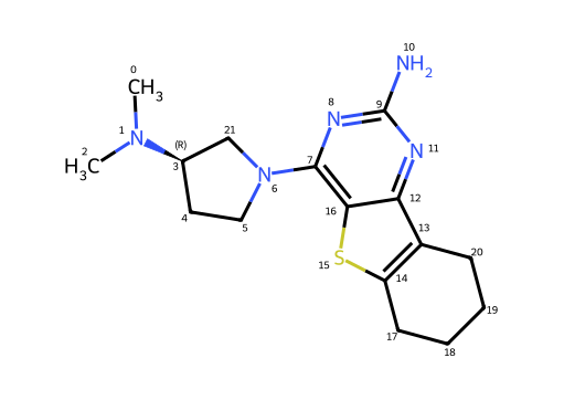 CN(C)[C@@H]1CCN(c2nc(N)nc3c4c(sc23)CCCC4)C1